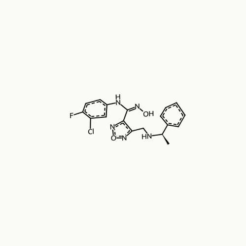 C[C@@H](NCc1nonc1/C(=N\O)Nc1ccc(F)c(Cl)c1)c1ccccc1